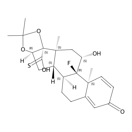 CC1(C)O[C@@H]2C[C@H]3[C@@H]4CCC5=CC(=O)C=C[C@]5(C)[C@@]4(F)[C@@H](O)C[C@]3(C)[C@]2(C(O)=S)O1